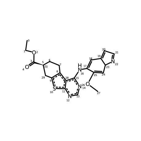 CCOC(=O)[C@H]1CCc2c(sc3ncnc(NC4=CC5=CC=NC5C=C4OC)c23)C1